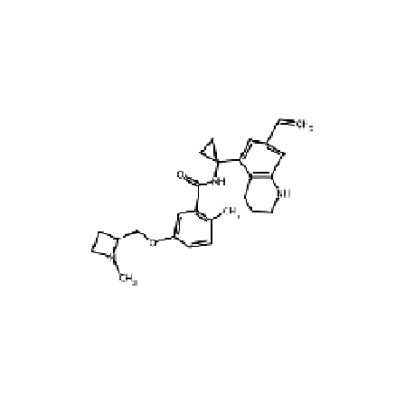 C=Cc1cc2c(c(C3(NC(=O)c4cc(OC[C@@H]5CCN5C)ccc4C)CC3)c1)CCCN2